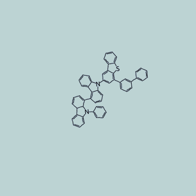 C1=CC2c3ccccc3N(c3ccccc3)C2C(c2cccc3c2c2ccccc2n3-c2cc(-c3cccc(-c4ccccc4)c3)c3sc4ccccc4c3c2)=C1